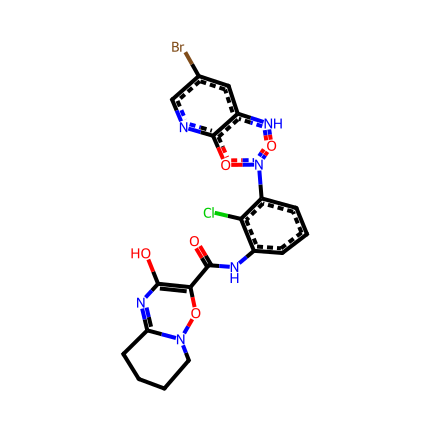 O=C(Nc1cccc(-n2o[nH]c3cc(Br)cnc3o2)c1Cl)C1=C(O)N=C2CCCCN2O1